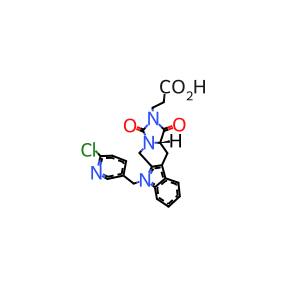 O=C(O)CCN1C(=O)[C@@H]2Cc3c(n(Cc4ccc(Cl)nc4)c4ccccc34)CN2C1=O